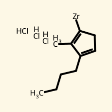 CCCCC1=CC[C]([Zr])=C1C.Cl.Cl.Cl